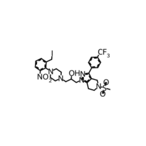 CS(=O)(=O)N1CCc2c(c(-c3ccc(C(F)(F)F)cc3)nn2CC(O)CN2CCN(c3c(CI)cccc3[N+](=O)[O-])CC2)C1